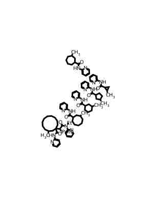 CC1CC1C(=O)Nc1ccccn1.CC1CCC(C(=O)Nc2ccccn2)C1.CC1CCCC(C(=O)Nc2ccccn2)C1.CC1CCCCC(C(=O)Nc2ccccn2)C1.CC1CCCCCC(C(=O)Nc2ccccn2)C1.CCCC(C)C(C(=O)N(CC)c1ccccn1)C1(C(=O)Nc2ccccn2)CCCCCCCCCC(C)C1